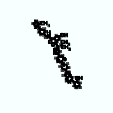 Cc1ncsc1-c1ccc(CNC(=O)[C@@H]2C[C@@H](O)CN2C(=O)[C@@H](c2cc(-c3cnc(N4CCC(c5cc6nnc(-c7ccccc7O)cc6s5)CC4)nc3)no2)C(C)C)cc1